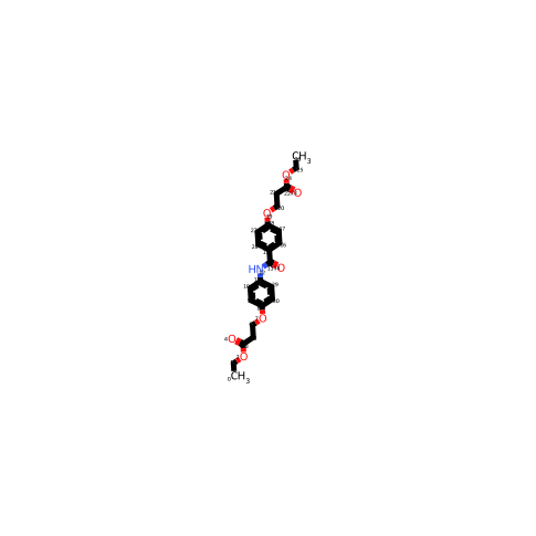 CCOC(=O)CCOc1ccc(NC(=O)c2ccc(OCCC(=O)OCC)cc2)cc1